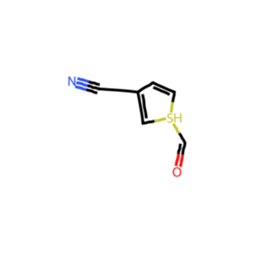 N#CC1=C[SH](C=O)C=C1